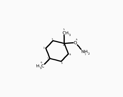 CC1CCC(C)(ON)CC1